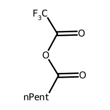 CCCCCC(=O)OC(=O)C(F)(F)F